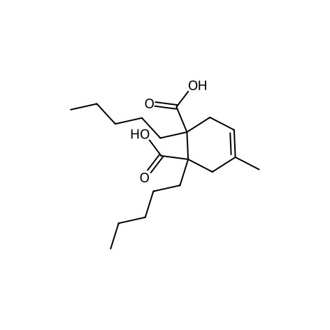 CCCCCC1(C(=O)O)CC=C(C)CC1(CCCCC)C(=O)O